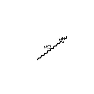 CCCCCCCCCCCCCCCCSNCC.Cl